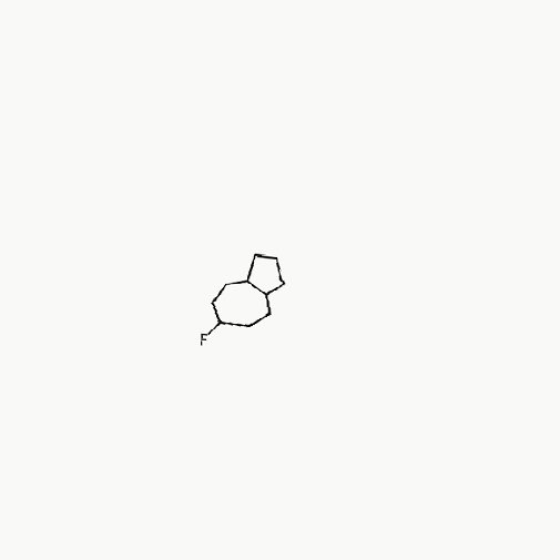 FC1CCC2CCCC2CC1